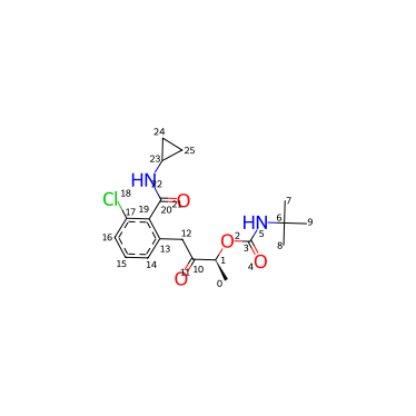 C[C@H](OC(=O)NC(C)(C)C)C(=O)Cc1cccc(Cl)c1C(=O)NC1CC1